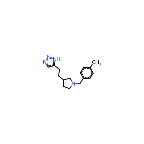 Cc1ccc(CN2CCC(CCc3cnn[nH]3)C2)cc1